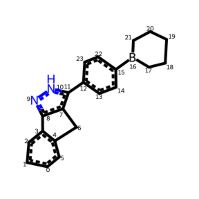 c1ccc2c(c1)Cc1c-2n[nH]c1-c1ccc(B2CCCCC2)cc1